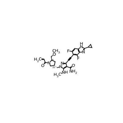 C=CC(=O)N1C[C@@H](Cn2nc(C#Cc3c(F)cc4[nH]c(C5CC5)nc4c3F)c(C(N)=O)c2NC)C[C@@H]1COC